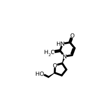 C=C1NC(=O)C=CN1[C@H]1CC[C@@H](CO)O1